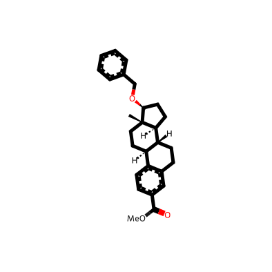 COC(=O)c1ccc2c(c1)CC[C@@H]1[C@@H]2CC[C@]2(C)[C@@H](OCc3ccccc3)CC[C@@H]12